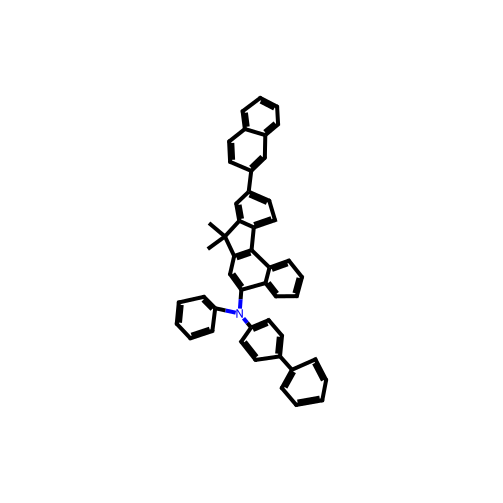 CC1(C)c2cc(-c3ccc4ccccc4c3)ccc2-c2c1cc(N(c1ccccc1)c1ccc(-c3ccccc3)cc1)c1ccccc21